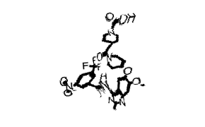 COc1cc2nc(C)nc(N[C@H](C)c3cc([N+](=O)[O-])cc(C(F)(F)F)c3)c2cc1OC1CCN(C(=O)C2CCN(C(=O)O)CC2)CC1